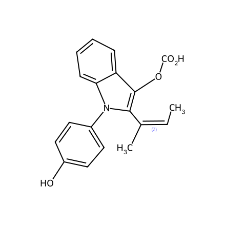 C/C=C(/C)c1c(OC(=O)O)c2ccccc2n1-c1ccc(O)cc1